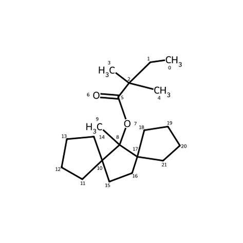 CCC(C)(C)C(=O)OC1(C)C2(CCCC2)CCC12CCCC2